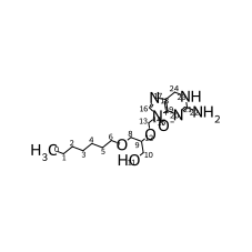 CCCCCCCOCC(CO)OC[N+]1([O-])C=NC2=C1N=C(N)NC2